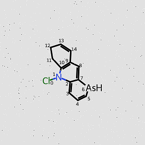 ClN1C2=CC=C[AsH]C2=CC2=C1CCC=C2